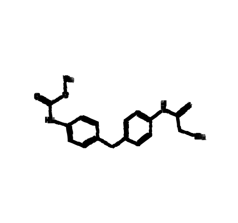 C=C(CC(C)(C)C)Nc1ccc(Cc2ccc(NC(=O)OC(C)(C)C)cc2)cc1